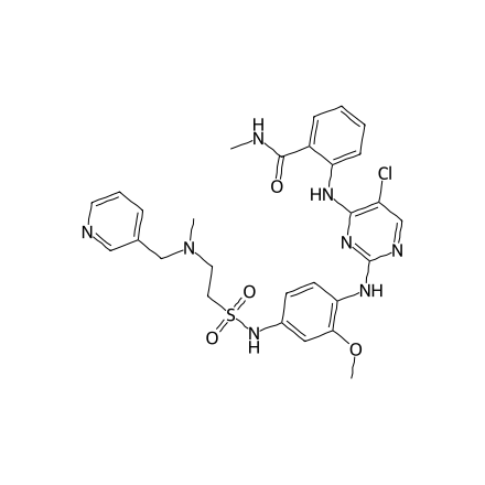 CNC(=O)c1ccccc1Nc1nc(Nc2ccc(NS(=O)(=O)CCN(C)Cc3cccnc3)cc2OC)ncc1Cl